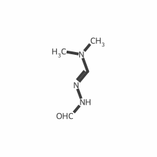 CN(C)/C=N/NC=O